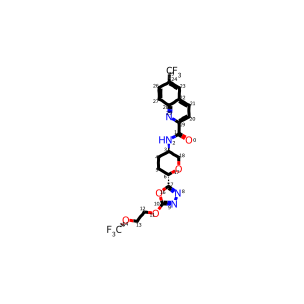 O=C(N[C@@H]1CC[C@@H](c2nnc(OCCOC(F)(F)F)o2)OC1)c1ccc2cc(C(F)(F)F)ccc2n1